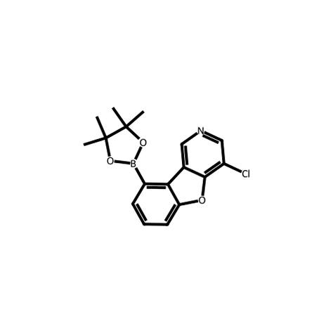 CC1(C)OB(c2cccc3oc4c(Cl)cncc4c23)OC1(C)C